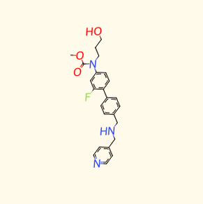 COC(=O)N(CCCO)c1ccc(-c2ccc(CNCc3ccncc3)cc2)c(F)c1